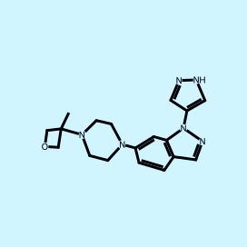 CC1(N2CCN(c3ccc4cnn(-c5cn[nH]c5)c4c3)CC2)COC1